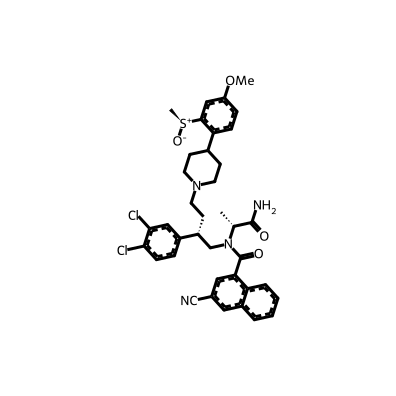 COc1ccc(C2CCN(CC[C@H](CN(C(=O)c3cc(C#N)cc4ccccc34)[C@H](C)C(N)=O)c3ccc(Cl)c(Cl)c3)CC2)c([S@+](C)[O-])c1